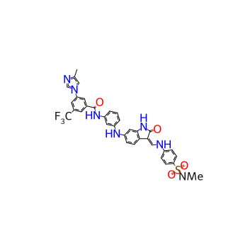 CNS(=O)(=O)c1ccc(NC=C2C(=O)Nc3cc(Nc4cccc(NC(=O)c5cc(-n6cnc(C)c6)cc(C(F)(F)F)c5)c4)ccc32)cc1